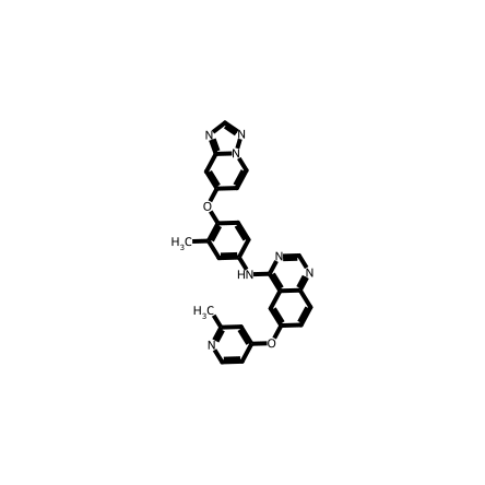 Cc1cc(Oc2ccc3ncnc(Nc4ccc(Oc5ccn6ncnc6c5)c(C)c4)c3c2)ccn1